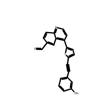 O=Cc1ccc2nccc(-c3ccc(C#Cc4cccc(O)c4)s3)c2c1